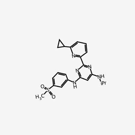 CC(C)Nc1cc(Nc2cccc(S(C)(=O)=O)c2)nc(-c2cccc(C3CC3)n2)n1